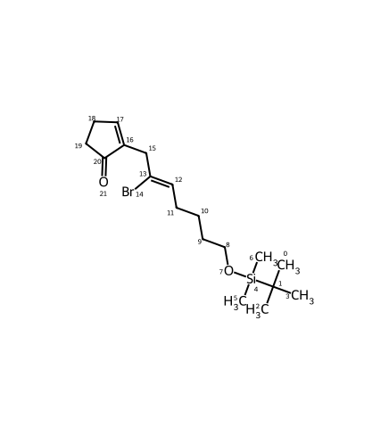 CC(C)(C)[Si](C)(C)OCCCC/C=C(\Br)CC1=CCCC1=O